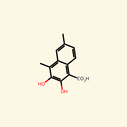 Cc1ccc2c(C(=O)O)c(O)c(O)c(C)c2c1